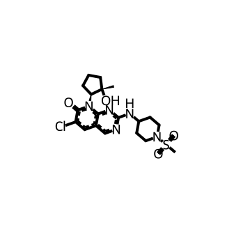 C[C@]1(O)CCC[C@@H]1n1c(=O)c(Cl)cc2cnc(NC3CCN(S(C)(=O)=O)CC3)nc21